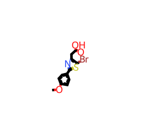 COc1ccc(-c2nc(CC(=O)O)c(Br)s2)cc1